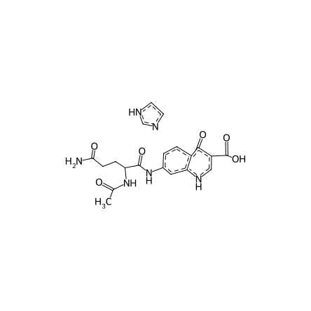 CC(=O)NC(CCC(N)=O)C(=O)Nc1ccc2c(=O)c(C(=O)O)c[nH]c2c1.c1c[nH]cn1